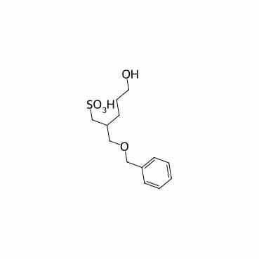 O=S(=O)(O)CC(CCCO)COCc1ccccc1